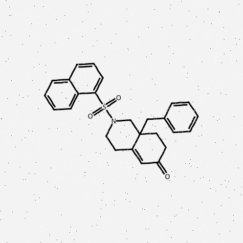 O=C1C=C2CCN(S(=O)(=O)c3cccc4ccccc34)CC2(Cc2ccccc2)CC1